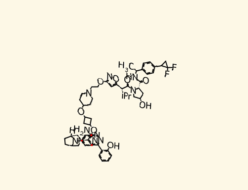 CC(C)[C@@H](C(=O)N1C[C@H](O)C[C@H]1C(=O)N[C@@H](C)c1ccc(C2CC2(F)F)cc1)c1cc(OCCN2CCC(OC3CC(Oc4cc(N5C6CC[C@@H]5CN(c5cc(-c7ccccc7O)nnc5N)C6)ccn4)C3)CC2)no1